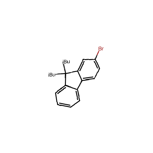 CCC(C)C1(C(C)CC)c2ccccc2-c2ccc(Br)cc21